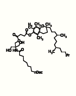 CCCCCCCCCCCCCCCCCC(=O)NC(CO)(CO)COC(=O)CCC(=O)Oc1c(C)c(C)c2c(c1C)CCC(C)(CCCC(C)CCCC(C)CCCC(C)C)O2